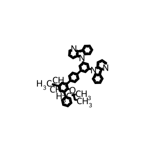 CCC(C)(C)Oc1c(-c2ccccc2)cc(C(C)(C)C)cc1-c1ccc(-c2cc(-n3c4ccccc4c4ncccc43)cc(-n3c4ccccc4c4ncccc43)c2)cc1